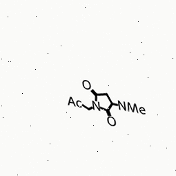 CNC1CC(=O)N(CC(C)=O)C1=O